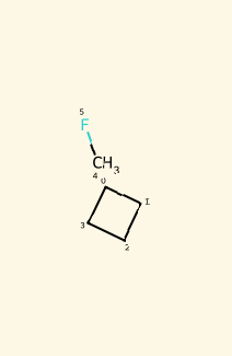 C1CCC1.CF